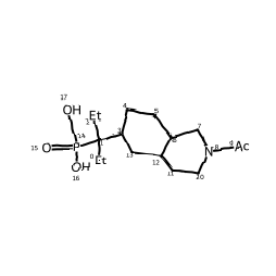 CCC(CC)(C1CCC2CN(C(C)=O)CCC2C1)P(=O)(O)O